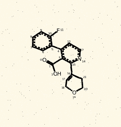 O=C(O)c1c(-c2ccccc2F)ccnc1C1=CCOCC1